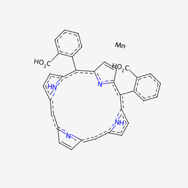 O=C(O)c1ccccc1-c1c2nc(c(-c3ccccc3C(=O)O)c3ccc(cc4nc(cc5ccc1[nH]5)C=C4)[nH]3)C=C2.[Mn]